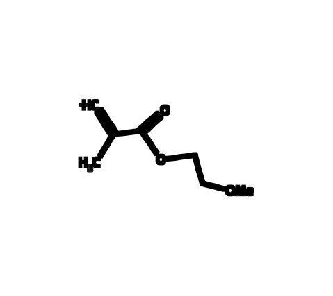 [CH]=C(C)C(=O)OCCOC